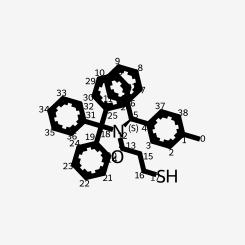 Cc1ccc([C@H](c2ccccc2)N(C(=O)CCS)C(c2ccccc2)(c2ccccc2)c2ccccc2)cc1